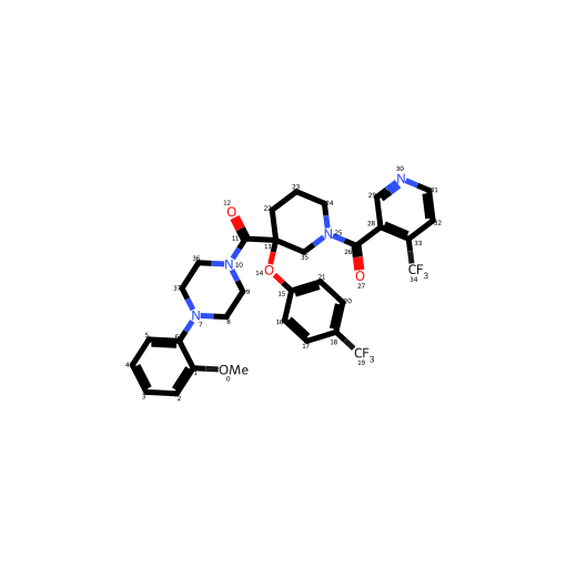 COc1ccccc1N1CCN(C(=O)C2(Oc3ccc(C(F)(F)F)cc3)CCCN(C(=O)c3cnccc3C(F)(F)F)C2)CC1